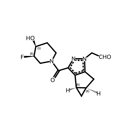 O=CCn1nc(C(=O)N2CC[C@H](O)[C@H](F)C2)c2c1C[C@H]1C[C@@H]21